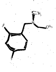 CCN(C)Cc1ccc(F)cc1F